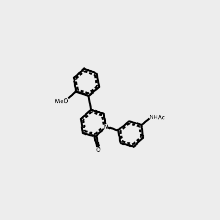 COc1ccccc1-c1ccc(=O)n(-c2cccc(NC(C)=O)c2)c1